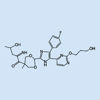 CC(O)CC(=N)C(=O)C1(C)COC(c2nc(-c3ccc(F)cc3)c(-c3ccnc(OCCCO)n3)[nH]2)OC1